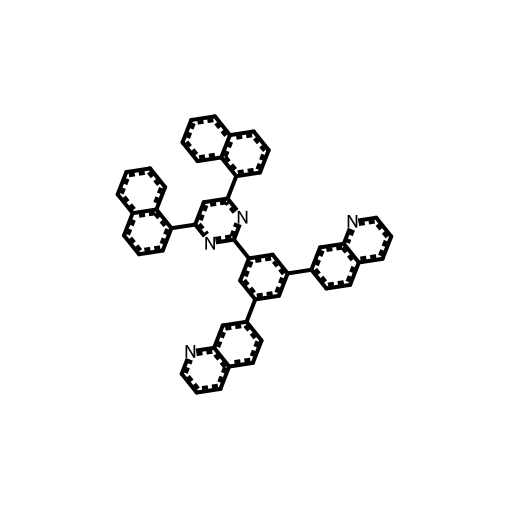 c1cnc2cc(-c3cc(-c4ccc5cccnc5c4)cc(-c4nc(-c5cccc6ccccc56)cc(-c5cccc6ccccc56)n4)c3)ccc2c1